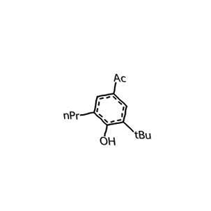 CCCc1cc(C(C)=O)cc(C(C)(C)C)c1O